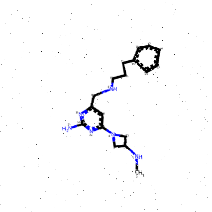 CNC1CN(c2cc(CNCCCc3ccccc3)nc(N)n2)C1